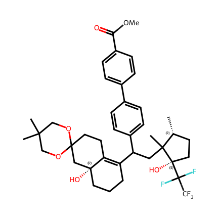 COC(=O)c1ccc(-c2ccc(C(CC3(C)[C@H](C)CC[C@@]3(O)C(F)(F)C(F)(F)F)C3=C4CCC5(C[C@]4(O)CCC3)OCC(C)(C)CO5)cc2)cc1